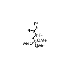 CO[Si](CC(F)C(F)CF)(OC)OC